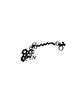 C=C(C)C(=O)OCCCCCCCCCCOC(=O)OC1=CC2N(N=C1)C(C#N)=C(C#N)C21c2ccccc2-c2ccccc21